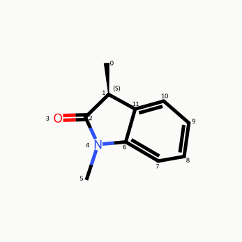 C[C@@H]1C(=O)N(C)c2ccccc21